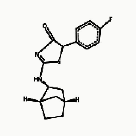 O=C1N=C(N[C@H]2C[C@@H]3CC[C@H]2C3)SC1c1ccc(F)cc1